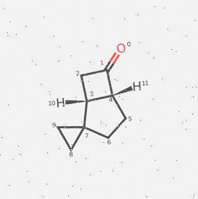 O=C1C[C@@H]2[C@H]1CCC21CC1